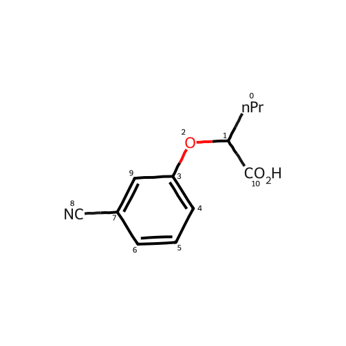 CCCC(Oc1cccc(C#N)c1)C(=O)O